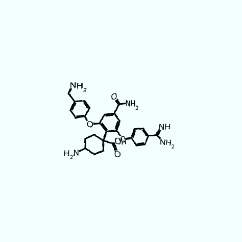 N=C(N)c1ccc(Oc2cc(C(N)=O)cc(Oc3ccc(CN)cc3)c2C2(C(=O)O)CCC(N)CC2)cc1